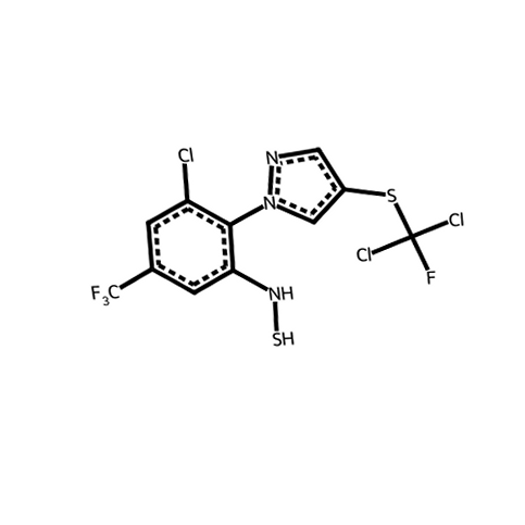 FC(Cl)(Cl)Sc1cnn(-c2c(Cl)cc(C(F)(F)F)cc2NS)c1